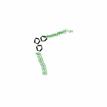 Cl.Cl.Cl.Cl.Cl.Cl.Cl.Cl.Cl.Cl.Cl.Cl.Cl.Cl.Cl.Cl.Cl.Cl.Cl.Cl.Cl.Cl.Cl.Cl.c1ccccc1.c1ccccc1.c1ccccc1